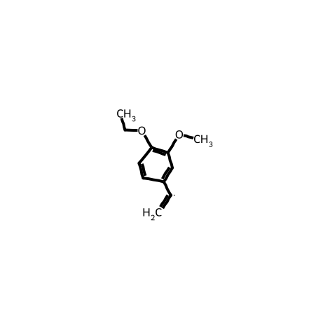 C=[C]c1ccc(OCC)c(OC)c1